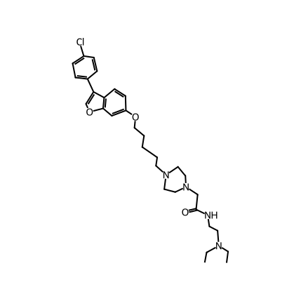 CCN(CC)CCNC(=O)CN1CCN(CCCCCOc2ccc3c(-c4ccc(Cl)cc4)coc3c2)CC1